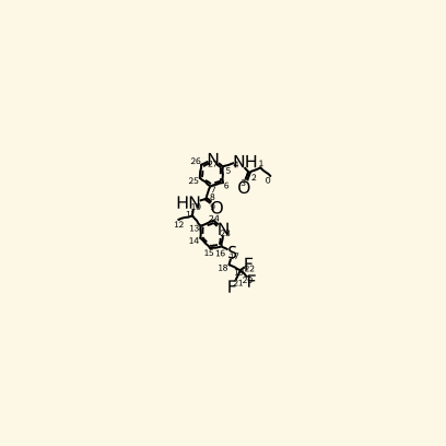 CCC(=O)Nc1cc(C(=O)NC(C)c2ccc(SCC(F)(F)F)nc2)ccn1